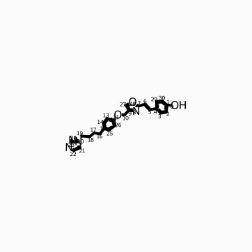 Oc1ccc(/C=C/c2nc(COc3ccc(CCCCn4ccnn4)cc3)co2)cc1